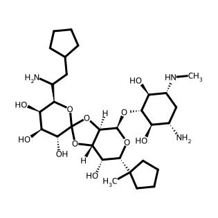 CN[C@@H]1C[C@H](N)[C@@H](O)[C@H](O[C@H]2O[C@H](C3(C)CCCC3)[C@H](O)[C@@H]3OC4(O[C@@H]23)O[C@H](C(N)CC2CCCC2)[C@H](O)[C@H](O)[C@H]4O)[C@H]1O